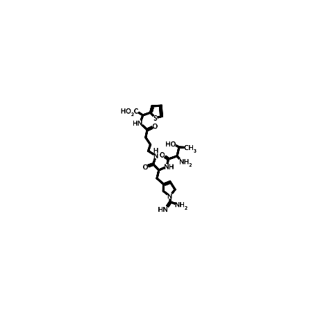 CC(O)C(N)C(=O)NC(CC1=CCN(C(=N)N)C1)C(=O)NCCCC(=O)NC(C(=O)O)c1cccs1